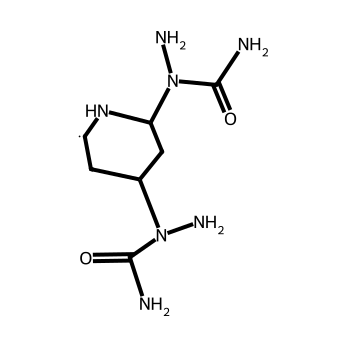 NC(=O)N(N)C1C[CH]NC(N(N)C(N)=O)C1